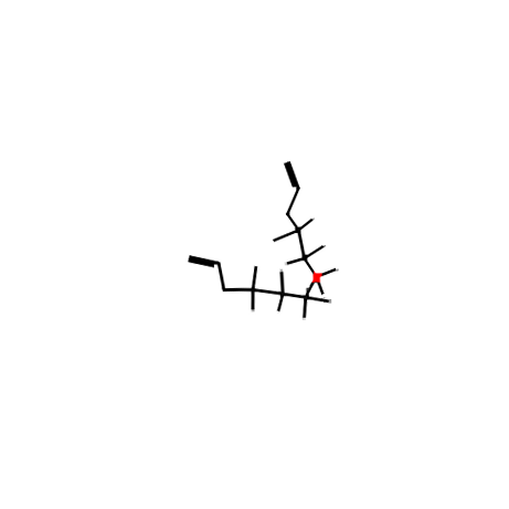 C=CCC(F)(F)C(F)(OC(F)(C(F)(F)F)C(F)(F)CC=C)C(F)(F)F